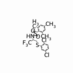 Cc1cc(C)c(S(=O)(=O)NC(CSc2cc(Cl)ccc2Cl)C(F)(F)F)c(C)c1